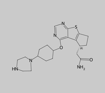 NC(=O)C[C@H]1CCc2sc3ncnc(OC4CCC(N5CCNCC5)CC4)c3c21